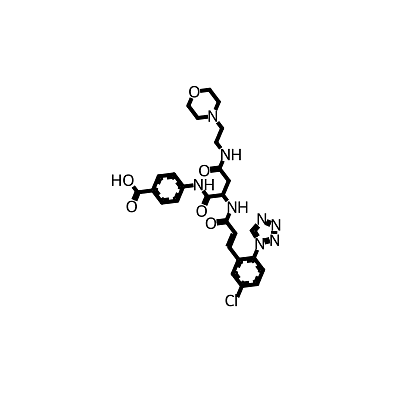 O=C(C=Cc1cc(Cl)ccc1-n1cnnn1)NC(CC(=O)NCCN1CCOCC1)C(=O)Nc1ccc(C(=O)O)cc1